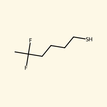 CC(F)(F)CCCCS